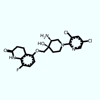 N[C@H]1CN(c2ncc(Cl)cc2Cl)CC[C@]1(O)COc1ccc(F)c2c1CCC(=O)N2